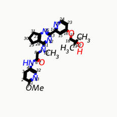 COc1ccc(NC(=O)CN(C)c2nc(-c3cc(OCC(C)(C)O)ccn3)nc3c2CCC3)cn1